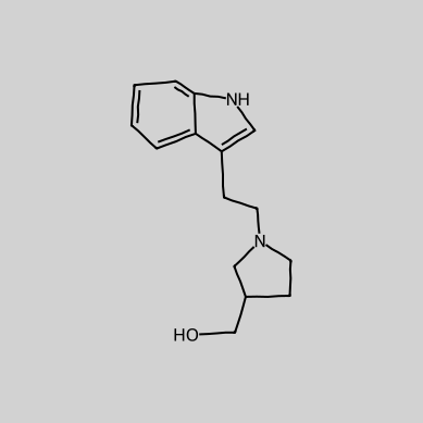 OCC1CCN(CCc2c[nH]c3ccccc23)C1